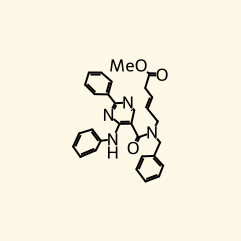 COC(=O)C/C=C/CN(Cc1ccccc1)C(=O)c1cnc(-c2ccccc2)nc1Nc1ccccc1